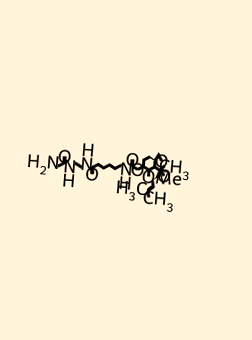 COC1C(OC(=O)NCCCCCC(=O)NCCNC(=O)CN)CC[C@]2(CO2)C1C1(C)O[C@@H]1CC=C(C)C